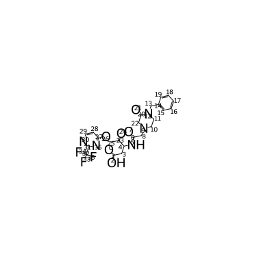 O=C(O)CC(NC(=O)CN1CCN(Cc2ccccc2)C(=O)C1)C(=O)COc1ccnc(C(F)(F)F)n1